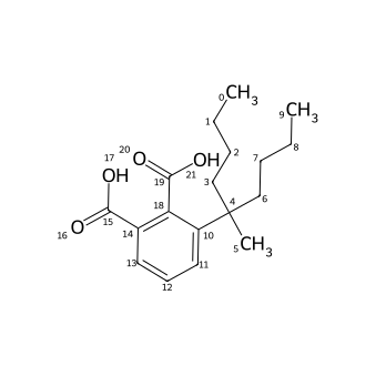 CCCCC(C)(CCCC)c1cccc(C(=O)O)c1C(=O)O